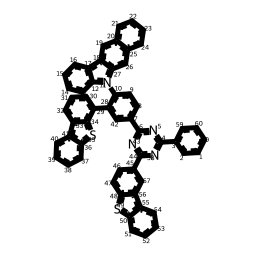 c1ccc(-c2nc(-c3ccc(-n4c5ccccc5c5cc6ccccc6cc54)c(-c4cccc5c4sc4ccccc45)c3)nc(-c3ccc4sc5ccccc5c4c3)n2)cc1